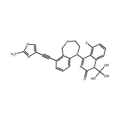 Cc1nc(C#Cc2cccc3c2COCCN3c2nc(=O)n(C(O)(O)O)c3cccc(F)c23)co1